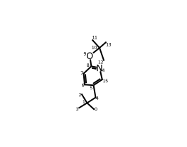 CC(C)(C)Cc1ccc(OC(C)(C)C)nc1